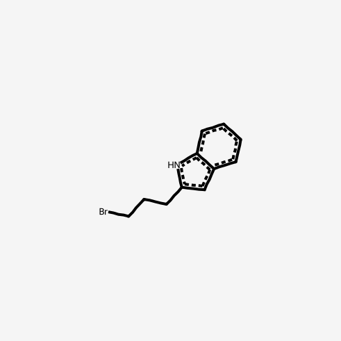 BrCCCc1cc2ccccc2[nH]1